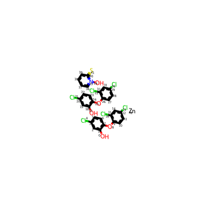 Oc1cc(Cl)ccc1Oc1ccc(Cl)cc1Cl.Oc1cc(Cl)ccc1Oc1ccc(Cl)cc1Cl.On1ccccc1=S.[Zn]